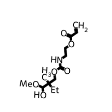 C=CC(=O)OCCNC(=O)OCC(C)(CC)C(O)OC